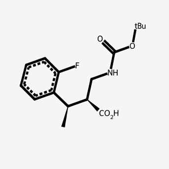 C[C@@H](c1ccccc1F)[C@@H](CNC(=O)OC(C)(C)C)C(=O)O